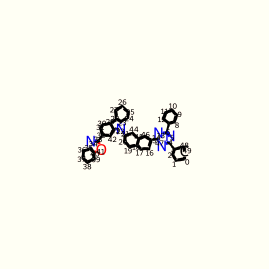 c1ccc(-c2nc(-c3ccccc3)nc(-c3ccc4ccc(-n5c6ccccc6c6ccc(-c7nc8ccccc8o7)cc65)cc4c3)n2)cc1